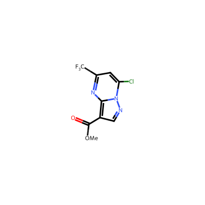 COC(=O)c1cnn2c(Cl)cc(C(F)(F)F)nc12